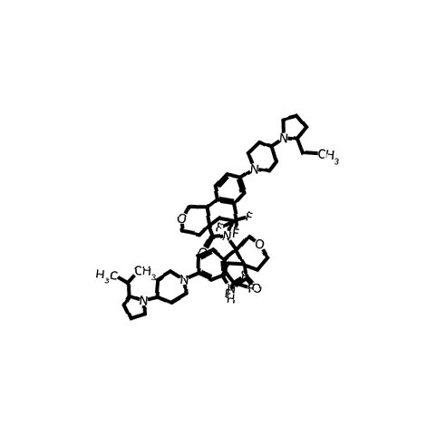 CCC1CCCN1C1CCN(c2ccc(C3COCCC34CCN(C3(c5ccc(N6CCC(N7CCCC7C(C)C)CC6)cc5C(F)(F)F)COCCC35CCNC5=O)C4=O)c(C(F)(F)F)c2)CC1